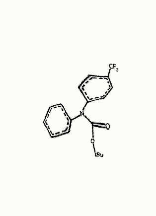 CC(C)(C)OC(=O)N(c1ccccc1)c1ccc(C(F)(F)F)cc1